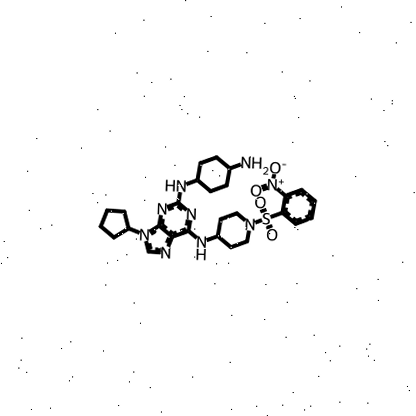 NC1CCC(Nc2nc(NC3CCN(S(=O)(=O)c4ccccc4[N+](=O)[O-])CC3)c3ncn(C4CCCC4)c3n2)CC1